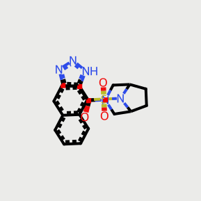 O=C(c1cnn[nH]1)N1CC2CCC(C1)N2S(=O)(=O)c1cccc2ccccc12